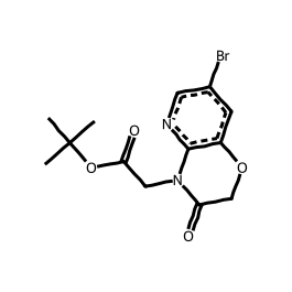 CC(C)(C)OC(=O)CN1C(=O)COc2cc(Br)cnc21